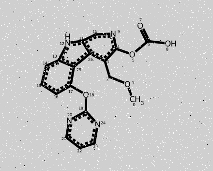 COCc1c(OC(=O)O)ncc2[nH]c3cccc(Oc4ncccn4)c3c12